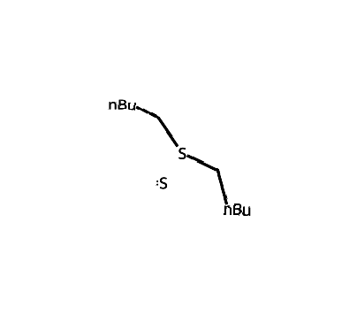 CCCCCSCCCCC.[S]